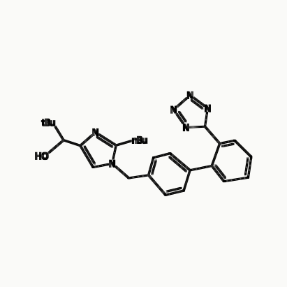 CCCCc1nc(C(O)C(C)(C)C)cn1Cc1ccc(-c2ccccc2C2N=NN=N2)cc1